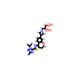 Cc1nc(-c2nc3c(s2)CCOc2cc(C4CN(CC(O)CO)C4)ccc2-3)n(C(C)C)n1